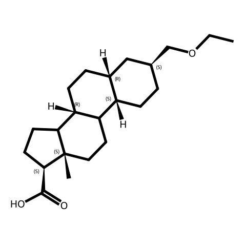 CCOC[C@H]1CC[C@@H]2C3CC[C@@]4(C)C(CC[C@@H]4C(=O)O)[C@@H]3CC[C@@H]2C1